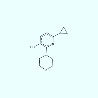 Oc1ccc(C2CC2)nc1C1CCOCC1